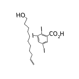 C=CCCCCCCCCCO.O=C(O)c1cc(I)cc(I)c1I